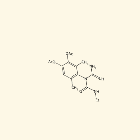 CCNC(=O)N(C(=N)N)c1c(C)cc(OC(C)=O)c(OC(C)=O)c1C